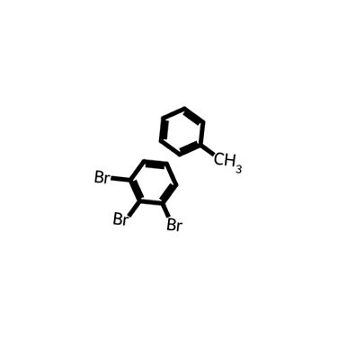 Brc1cccc(Br)c1Br.Cc1ccccc1